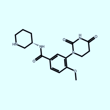 COc1ccc(C(=O)N[C@H]2CCCNC2)cc1N1CCC(=O)NC1=O